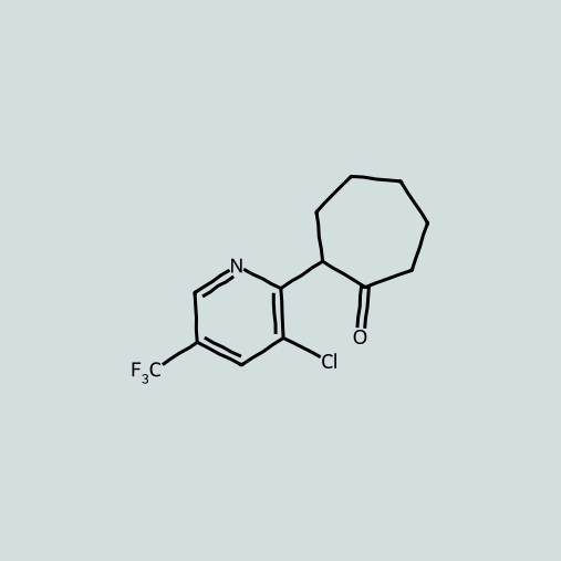 O=C1CCCCCC1c1ncc(C(F)(F)F)cc1Cl